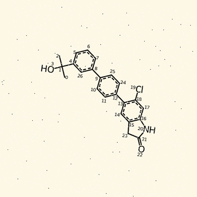 CC(C)(O)c1cccc(-c2ccc(-c3cc4c(cc3Cl)NC(=O)C4)cc2)c1